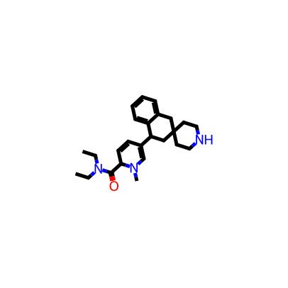 CCN(CC)C(=O)C1C=CC(C2CC3(CCNCC3)Cc3ccccc32)=CN1C